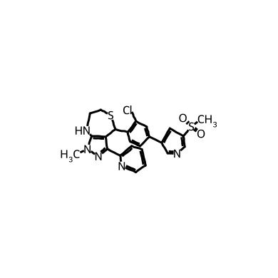 Cn1nc(-c2ccccn2)c2c1NCCSC2c1ccc(-c2cncc(S(C)(=O)=O)c2)cc1Cl